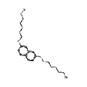 BrCCCCCCOc1ccc2ccc(OCCCCCSBr)cc2c1